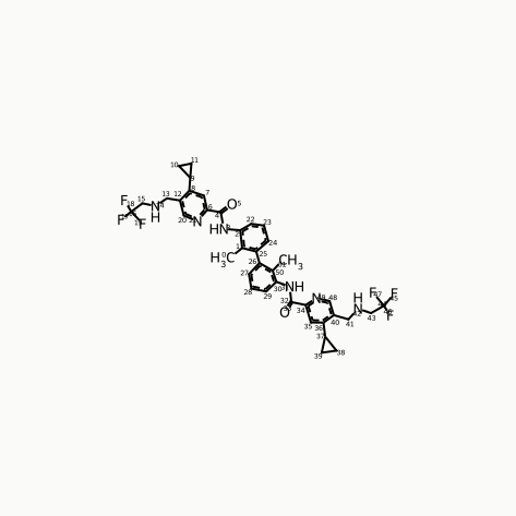 Cc1c(NC(=O)c2cc(C3CC3)c(CNCC(F)(F)F)cn2)cccc1-c1cccc(NC(=O)c2cc(C3CC3)c(CNCC(F)(F)F)cn2)c1C